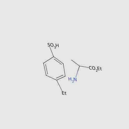 CCOC(=O)C(C)N.CCc1ccc(S(=O)(=O)O)cc1